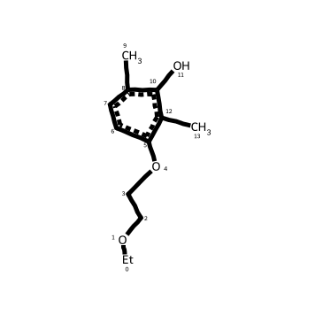 CCOCCOc1ccc(C)c(O)c1C